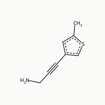 Cc1cc(C#CCN)cs1